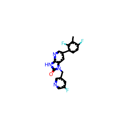 Cc1c(F)ccc(-c2cnc3[nH]c(=O)n(Cc4cncc(F)c4)c3c2)c1F